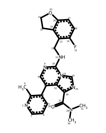 Cc1ncccc1-c1cnc(NCc2c(F)ccc3c2CCO3)n2cnc(C(=O)N(C)C)c12